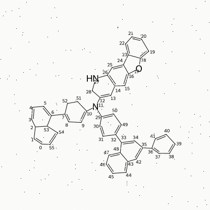 C1=CC2C=CC=C(C3=CC=C(N(C4=Cc5cc6oc7ccccc7c6cc5NC4)c4ccc(-c5cc(-c6ccccc6)cc6ccccc56)cc4)CC3)C2C=C1